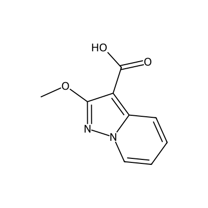 COc1nn2ccccc2c1C(=O)O